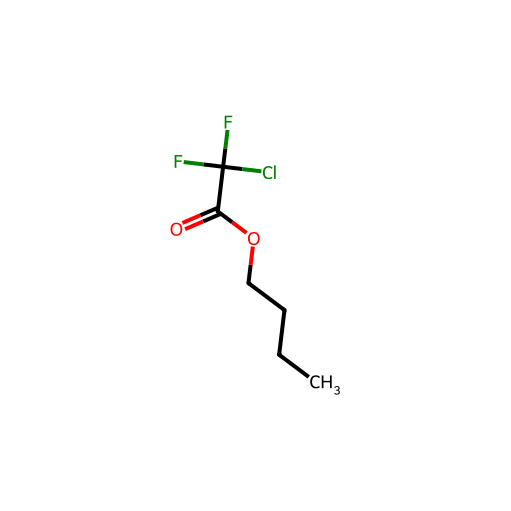 CCCCOC(=O)C(F)(F)Cl